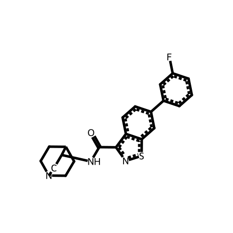 O=C(NC1CN2CCC1CC2)c1nsc2cc(-c3cccc(F)c3)ccc12